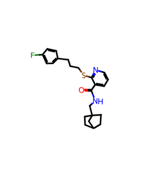 O=C(NCC12CCC(CC1)C2)c1cccnc1SCCCc1ccc(F)cc1